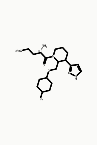 COCC[C@H](N)C(=O)N1CCCC(c2cc[nH]n2)C1COC1CCC(C(C)C)CC1